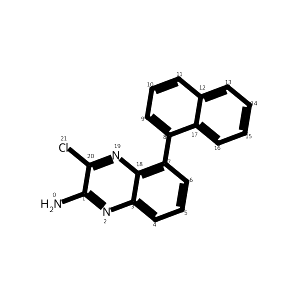 Nc1nc2cccc(-c3cccc4ccccc34)c2nc1Cl